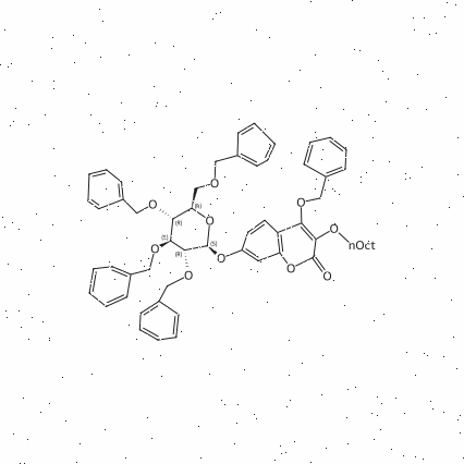 CCCCCCCCOc1c(OCc2ccccc2)c2ccc(O[C@@H]3O[C@H](COCc4ccccc4)[C@@H](OCc4ccccc4)[C@H](OCc4ccccc4)[C@H]3OCc3ccccc3)cc2oc1=O